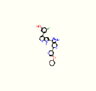 Oc1cc(F)cc(-c2ccnc3[nH]c(-c4n[nH]c5cnc(-c6cncc(OC7CCCCC7)c6)cc45)cc23)c1